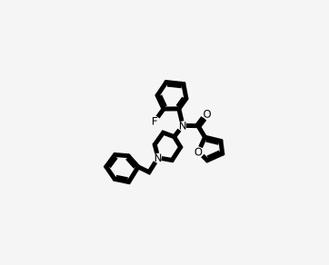 O=C(c1ccco1)N(c1ccccc1F)C1CCN(Cc2ccccc2)CC1